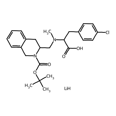 CN(CC1Cc2ccccc2CN1C(=O)OC(C)(C)C)C(Cc1ccc(Cl)cc1)C(=O)O.[LiH]